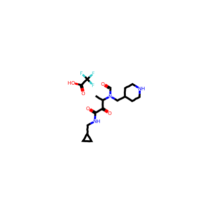 CC(C(=O)C(=O)NCC1CC1)N(C=O)CC1CCNCC1.O=C(O)C(F)(F)F